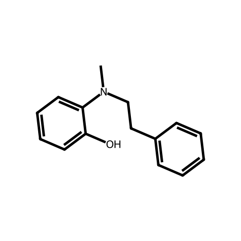 CN(CCc1ccccc1)c1ccccc1O